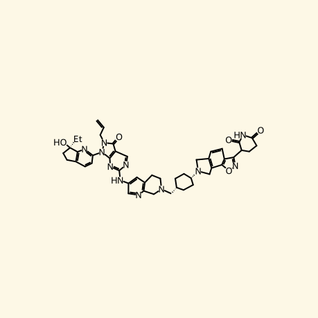 C=CCn1c(=O)c2cnc(Nc3cnc4c(c3)CCN(C[C@H]3CC[C@@H](N5Cc6ccc7c(C8CCC(=O)NC8=O)noc7c6C5)CC3)C4)nc2n1-c1ccc2c(n1)[C@@](O)(CC)CC2